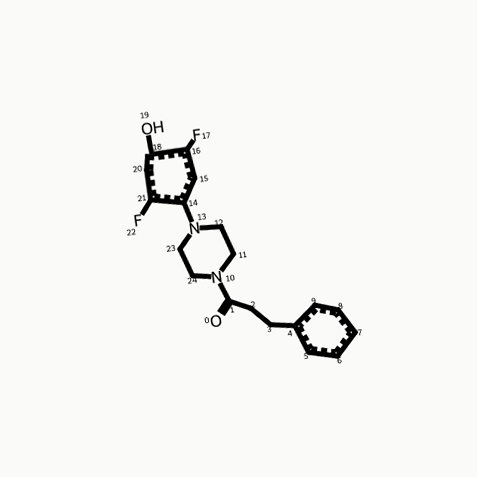 O=C(CCc1ccccc1)N1CCN(c2cc(F)c(O)cc2F)CC1